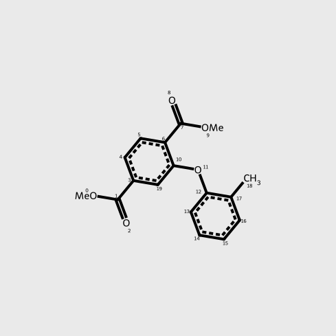 COC(=O)c1ccc(C(=O)OC)c(Oc2ccccc2C)c1